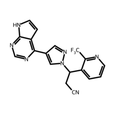 N#CCC(c1cccnc1C(F)(F)F)n1cc(-c2ncnc3[nH]ccc23)cn1